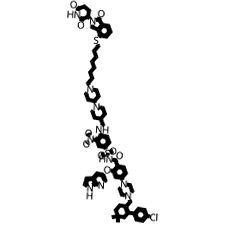 CC1(C)CCC(CN2CCN(c3ccc(C(=O)NS(=O)(=O)c4ccc(NCC5CCN(C6CCN(CCCCCCCCSc7cccc8c7CN(C7CCC(=O)NC7=O)C8=O)CC6)CC5)c([N+](=O)[O-])c4)c(Oc4cnc5[nH]ccc5c4)c3)CC2)=C(c2ccc(Cl)cc2)C1